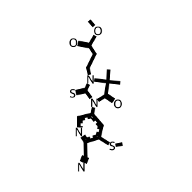 COC(=O)CCN1C(=S)N(c2cnc(C#N)c(SC)c2)C(=O)C1(C)C